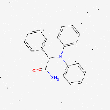 NC(=O)C(c1ccccc1)N(c1ccccc1)c1ccccc1